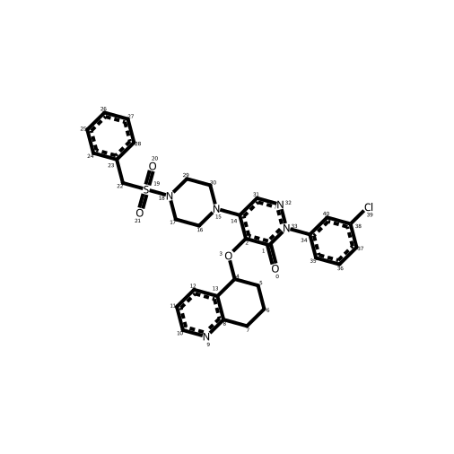 O=c1c(OC2CCCc3ncccc32)c(N2CCN(S(=O)(=O)Cc3ccccc3)CC2)cnn1-c1cccc(Cl)c1